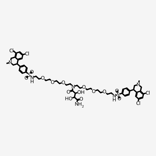 CN1Cc2c(Cl)cc(Cl)cc2C(c2ccc(S(=O)(=O)NCCOCCOCCOCCN(CCOCCOCCOCCNS(=O)(=O)c3ccc(C4CN(C)Cc5c(Cl)cc(Cl)cc54)cc3)C(=O)C(O)C(O)C(N)=O)cc2)C1